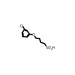 O=S(=O)(O)CCCCOc1cccc(Cl)c1